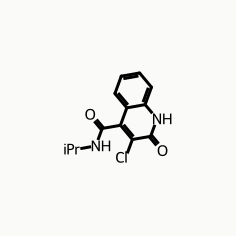 CC(C)NC(=O)c1c(Cl)c(=O)[nH]c2ccccc12